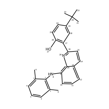 Cc1cccc(C)c1Nc1cccc2ccc(-c3cc(C(C)(C)C)ccc3O)nc12